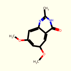 COC1=CC(OC)C=c2c(nc(C)[nH]c2=O)=C1